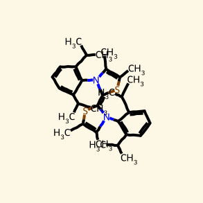 CC1=C(C)N(c2c(C(C)C)cccc2C(C)C)/C(=C2\SC(C)=C(C)N2c2c(C(C)C)cccc2C(C)C)S1